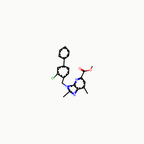 COC(=O)c1cc(C)c2nc(C)n(Cc3ccc(-c4ccccc4)cc3Cl)c2n1